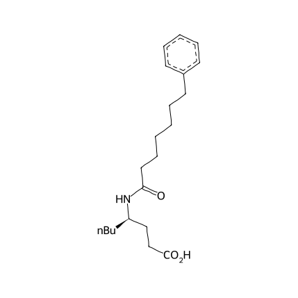 CCCC[C@H](CCC(=O)O)NC(=O)CCCCCCc1ccccc1